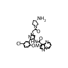 COc1ccc(Cl)cc1-c1nn(CC(=O)N2CC[C@H](N)C2)cc1NC(=O)c1cnn2cccnc12